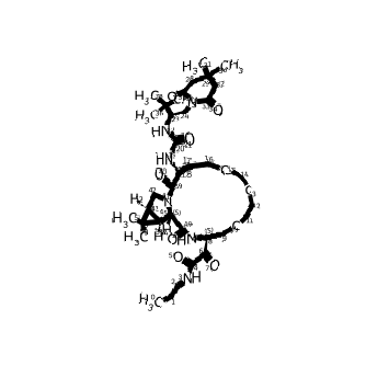 CCCNC(=O)C(=O)[C@@H]1CCCCCCCCC[C@H](NC(=O)N[C@H](CN2C(=O)CC(C)(C)CC2=O)C(C)(C)C)C(=O)N2C[C@H]3[C@@H]([C@H]2C(=O)N1)C3(C)C